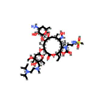 CC[C@H]1OC(=O)[C@H](C)[C@@H](O[C@H]2C[C@@](C)(OC)[C@@](O)(CN(C)CCN(C(C)C)C(C)C)[C@H](C)O2)[C@H](C)[C@@H](O[C@@H]2O[C@H](C)C[C@H](N)[C@H]2O)[C@@](C)(OC)C[C@@H](C)C(=NO)[C@H](C)[C@H]2N(CCNS(C)(=O)=O)C(=O)O[C@]12C